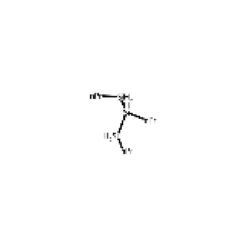 CCC[SiH2][SiH](CCC)[SiH2]CCC